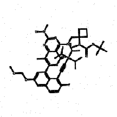 COCOc1cc(-c2oc(=O)c3c(NCC4(N(C)C(=O)OC(C)(C)C)CCC4)nc([S+](C)[O-])nc3c2C)c2c(C#C[Si](C(C)C)(C(C)C)C(C)C)c(F)ccc2c1